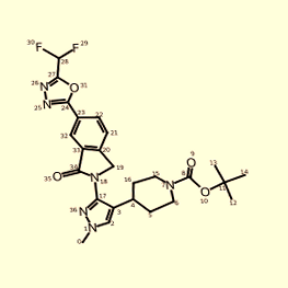 Cn1cc(C2CCN(C(=O)OC(C)(C)C)CC2)c(N2Cc3ccc(-c4nnc(C(F)F)o4)cc3C2=O)n1